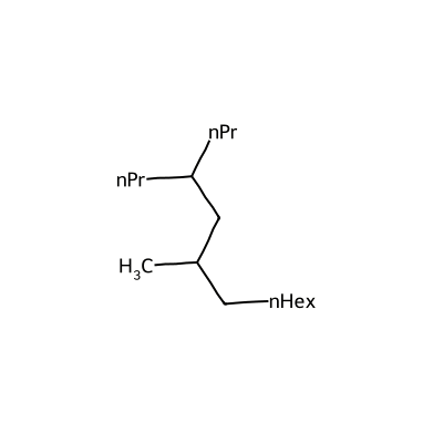 CCCCCCCC(C)CC(CCC)CCC